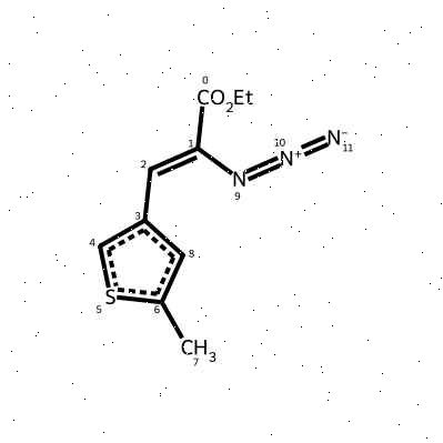 CCOC(=O)C(=Cc1csc(C)c1)N=[N+]=[N-]